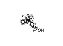 OCC1CCCN(c2ccc(-c3c4cccc(C(F)(F)F)c4nn3Cc3ccccc3)cc2)C1